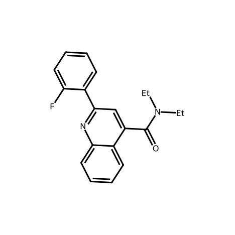 CCN(CC)C(=O)c1cc(-c2ccccc2F)nc2ccccc12